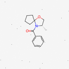 C[C@H]1COC2(CCCC2)N1C(=O)c1ccccc1